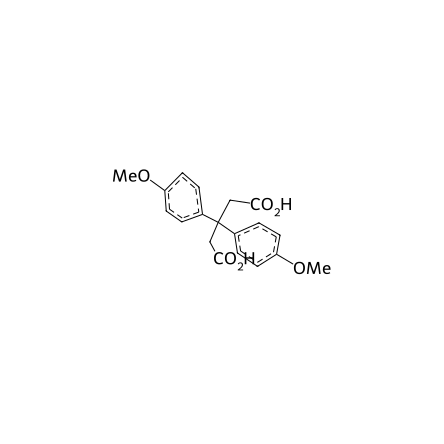 COc1ccc(C(CC(=O)O)(CC(=O)O)c2ccc(OC)cc2)cc1